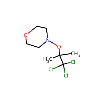 CC(C)(ON1CCOCC1)C(Cl)(Cl)Cl